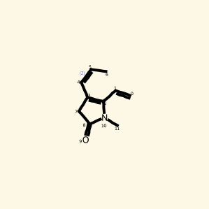 C=CC1=C(/C=C\C)CC(=O)N1C